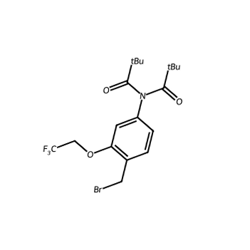 CC(C)(C)C(=O)N(C(=O)C(C)(C)C)c1ccc(CBr)c(OCC(F)(F)F)c1